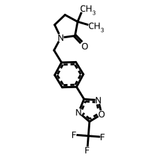 CC1(C)CCN(Cc2ccc(-c3noc(C(F)(F)F)n3)cc2)C1=O